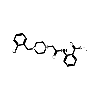 NC(=O)c1ccccc1NC(=O)CN1CCN(Cc2ccccc2Cl)CC1